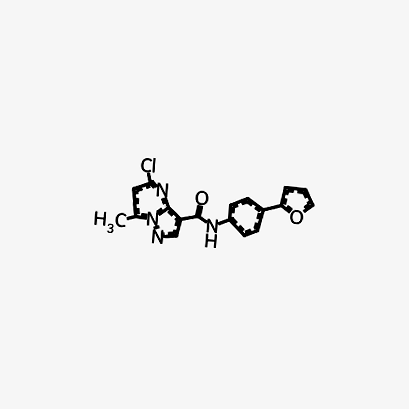 Cc1cc(Cl)nc2c(C(=O)Nc3ccc(-c4ccco4)cc3)cnn12